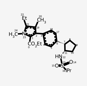 CCOC(=O)c1c(-c2ccc([C@@H]3CCC[C@@H]3NS(=O)(=O)C(C)C)cc2)c(C)c(CC)n1C